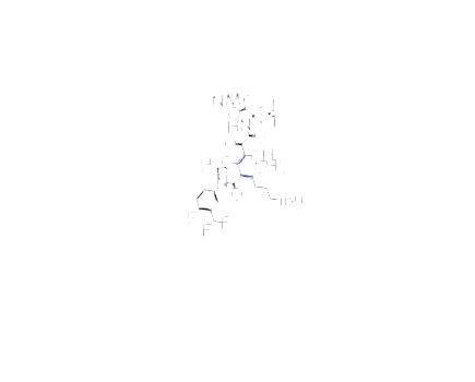 CCC(C)CCC/C(C)=C(C(=O)Nc1ccc(F)c(C(F)F)c1)/C(C)=C(\C)C(=O)C(=O)NC1(C(=O)NC)CC(F)(F)C1